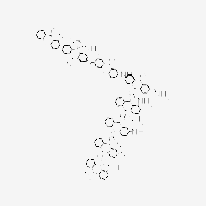 NCc1ccc2c(c1)C(=O)c1ccccc1C2=O.Nc1ccc(N)c2c1C(=O)c1ccccc1C2=O.Nc1ccc2c(c1)C(=O)c1ccc(N)cc1C2=O.Nc1ccc2c(c1)C(=O)c1ccccc1C2=O.Nc1ccc2c(c1N)C(=O)c1ccccc1C2=O.Nc1cccc2c1C(=O)c1c(N)cccc1C2=O.Nc1cccc2c1C(=O)c1cccc(N)c1C2=O.Nc1cccc2c1C(=O)c1ccccc1C2=O